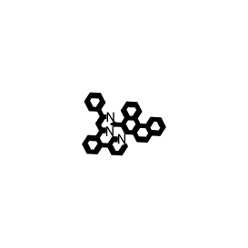 c1ccc(-c2cc(-c3ccccc3-c3cccnc3)nc(-c3cc4ccc5ccccc5c4c4ccccc34)n2)cc1